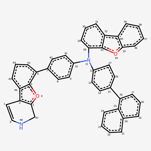 C1=Cc2c(oc3c(-c4ccc(N(c5ccc(-c6cccc7ccccc67)cc5)c5cccc6c5oc5ccccc56)cc4)cccc23)CN1